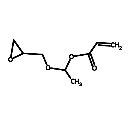 C=CC(=O)OC(C)OCC1CO1